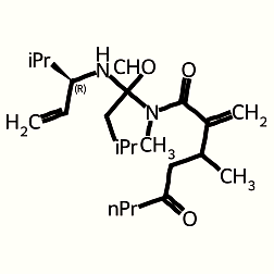 C=C[C@H](NC(C=O)(CC(C)C)N(C)C(=O)C(=C)C(C)CC(=O)CCC)C(C)C